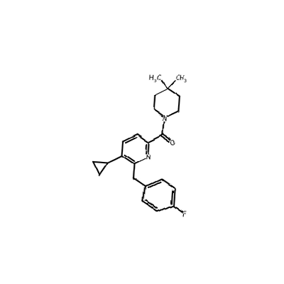 CC1(C)CCN(C(=O)c2ccc(C3CC3)c(Cc3ccc(F)cc3)n2)CC1